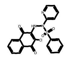 O=C1C(Cl)=C(NN(c2ccccn2)S(=O)(=O)c2ccccc2)C(=O)c2ccccc21